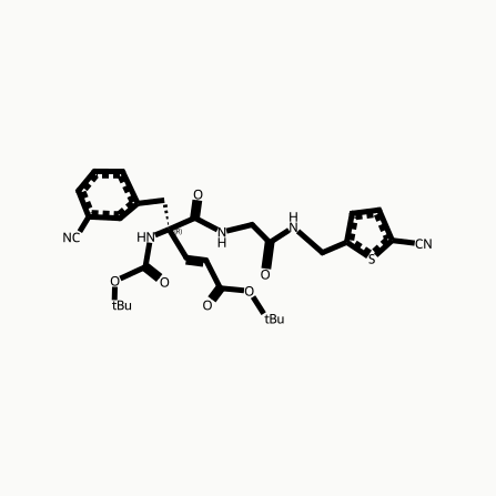 CC(C)(C)OC(=O)C=C[C@@](Cc1cccc(C#N)c1)(NC(=O)OC(C)(C)C)C(=O)NCC(=O)NCc1ccc(C#N)s1